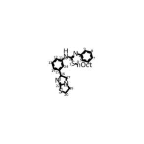 CCCCCCCCSC(=Nc1ccccc1)Nc1cccc(C2CN3CCSC3=N2)c1